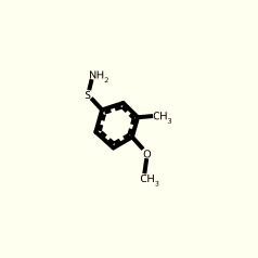 COc1ccc(SN)cc1C